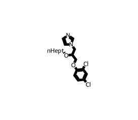 CCCCCCCOC(COc1ccc(Cl)cc1Cl)Cn1ccnc1